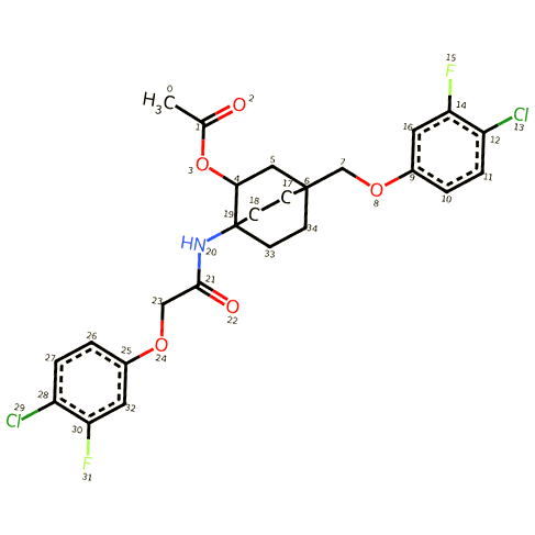 CC(=O)OC1CC2(COc3ccc(Cl)c(F)c3)CCC1(NC(=O)COc1ccc(Cl)c(F)c1)CC2